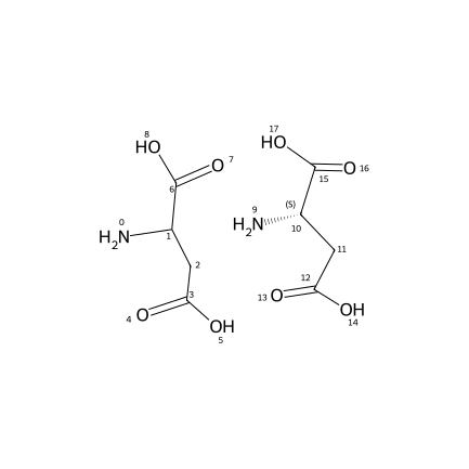 NC(CC(=O)O)C(=O)O.N[C@@H](CC(=O)O)C(=O)O